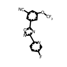 N#Cc1cc(OC(F)(F)F)cc(-c2nc(-c3ccc(F)cn3)no2)c1